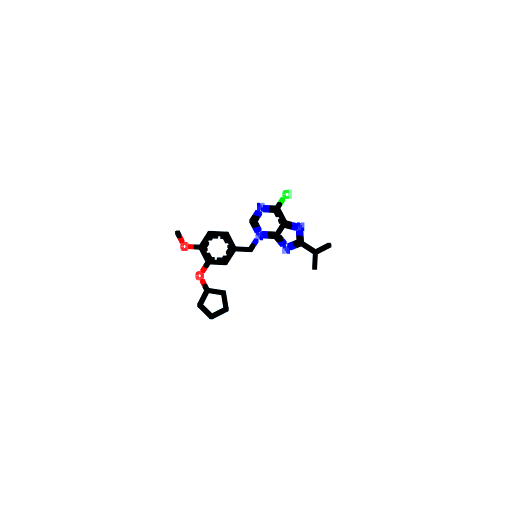 COc1ccc(Cn2cnc(Cl)c3nc(C(C)C)nc2-3)cc1OC1CCCC1